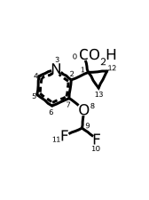 O=C(O)C1(c2ncccc2OC(F)F)CC1